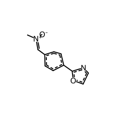 C[N+]([O-])=Cc1ccc(-c2ncco2)cc1